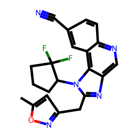 Cc1cc(Cc2nc3cnc4ccc(C#N)cc4c3n2C2CCCC2(F)F)no1